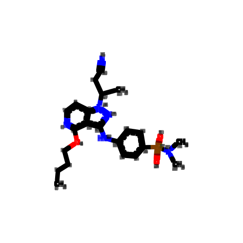 CCCCOc1nccc2c1c(Nc1ccc(S(=O)(=O)N(C)C)cc1)nn2C(C)CC#N